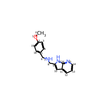 COc1ccc(CNCc2cc3cccnc3[nH]2)cc1